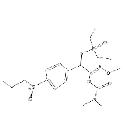 CCC[S@+]([O-])c1ccc(C(SP(=O)(CC)CC)C(=NOC)OC(=O)N(C)C)cc1